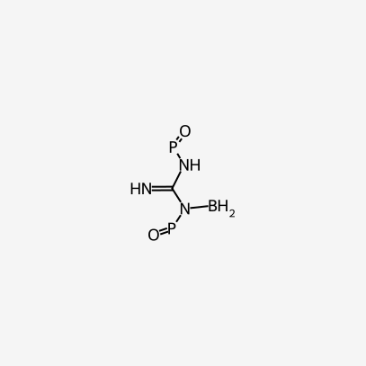 BN(P=O)C(=N)NP=O